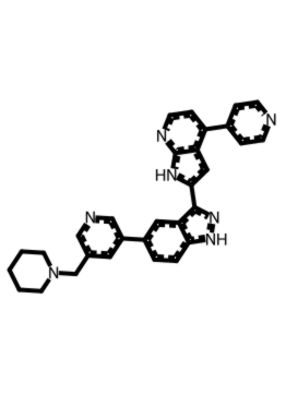 c1cc(-c2ccnc3[nH]c(-c4n[nH]c5ccc(-c6cncc(CN7CCCCC7)c6)cc45)cc23)ccn1